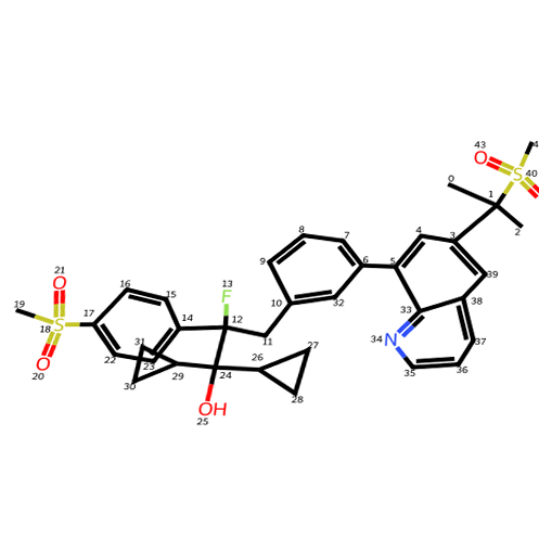 CC(C)(c1cc(-c2cccc(CC(F)(c3ccc(S(C)(=O)=O)cc3)C(O)(C3CC3)C3CC3)c2)c2ncccc2c1)S(C)(=O)=O